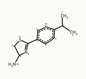 CC(C)c1ccc(C2=NC(N)CS2)cn1